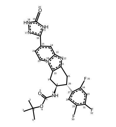 CC(C)(C)OC(=O)N[C@H]1Cc2c(nc3cc(-c4n[nH]c(=O)[nH]4)ccn23)C[C@@H]1c1cc(F)c(F)cc1F